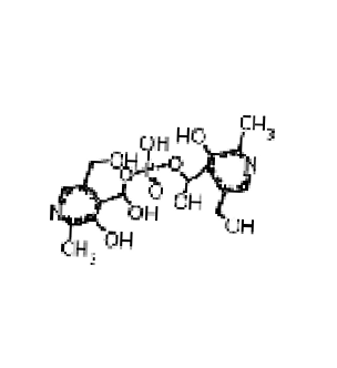 Cc1ncc(CO)c(C(O)OP(=O)(O)OC(O)c2c(CO)cnc(C)c2O)c1O